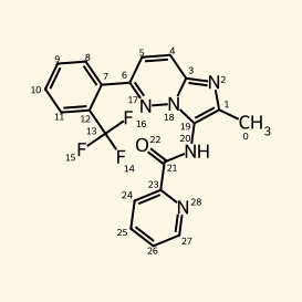 Cc1nc2ccc(-c3ccccc3C(F)(F)F)nn2c1NC(=O)c1ccccn1